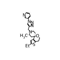 CCc1cc2c(s1)CCO[C@@]21CCN(Cc2cn(-c3cccnc3)nn2)[C@@H](C)C1